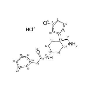 Cl.NC[C@]1(c2cccc(Cl)c2)CC[C@@H](NC(=O)Cc2cccnc2)CC1